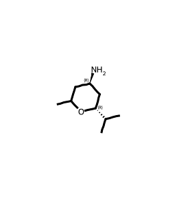 CC1C[C@@H](N)C[C@H](C(C)C)O1